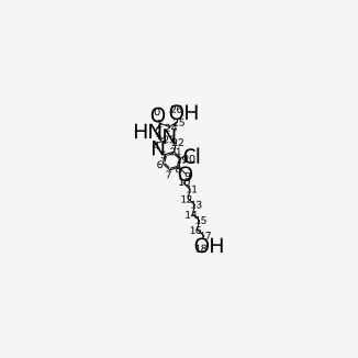 O=C1NC2=Nc3ccc(OCCCCCCCCO)c(Cl)c3CN2C1CO